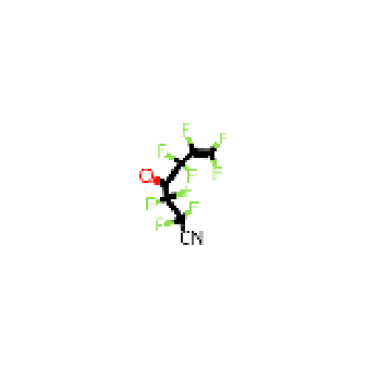 N#CC(F)(F)C(F)(F)C(=O)C(F)(F)C(F)=C(F)F